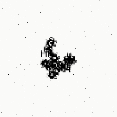 O=C(N[C@@H](Cc1ccccc1)[C@@H](O)CN(OC1CCCC1)S(=O)(=O)c1cccc(NCC(=O)N2CCOCC2)c1)O[C@@H]1CO[C@@H]2OCC[C@@H]21